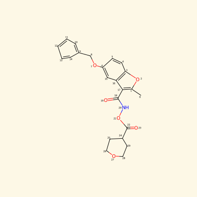 Cc1oc2ccc(OCc3ccccc3)cc2c1C(=O)NOC(=O)C1CCOCC1